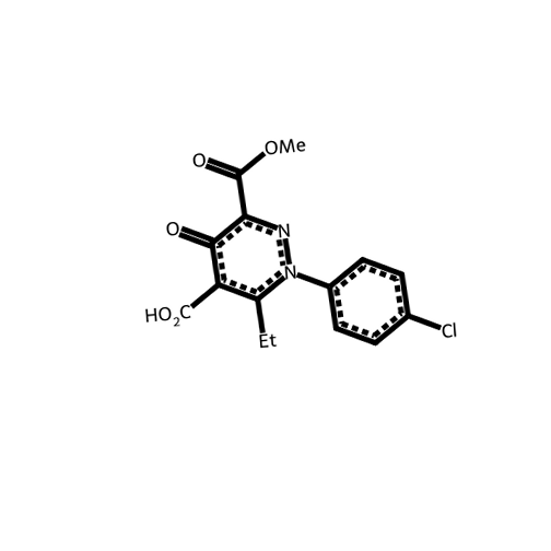 CCc1c(C(=O)O)c(=O)c(C(=O)OC)nn1-c1ccc(Cl)cc1